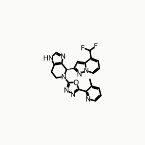 Cc1cccnc1-c1nnc(N2CCc3[nH]cnc3[C@H]2c2cc3c(C(F)F)cccn3n2)o1